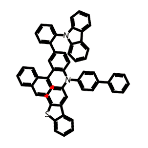 c1ccc(-c2ccc(N(c3ccc4sc5ccccc5c4c3)c3ccc(-c4ccccc4-n4c5ccccc5c5ccccc54)cc3-c3cccc4ccccc34)cc2)cc1